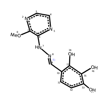 COc1nccnc1N/N=C/c1ccc(O)c(O)c1O